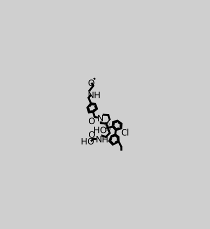 CCc1cccc(-c2c(Cl)cccc2[C@](O)(CCCNC(=O)O)[C@@H]2CCCN(C(=O)c3ccc(CNCCOC)cc3)C2)c1